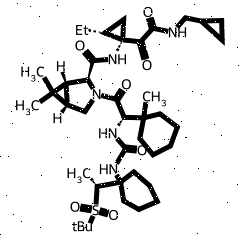 CC[C@@H]1C[C@@]1(NC(=O)[C@@H]1[C@@H]2[C@H](CN1C(=O)[C@@H](NC(=O)NC1([C@@H](C)S(=O)(=O)C(C)(C)C)CCCCC1)C1(C)CCCCC1)C2(C)C)C(=O)C(=O)NCC1CC1